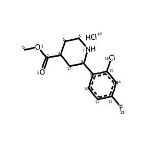 COC(=O)C1CCNC(c2ccc(F)cc2Cl)C1.Cl